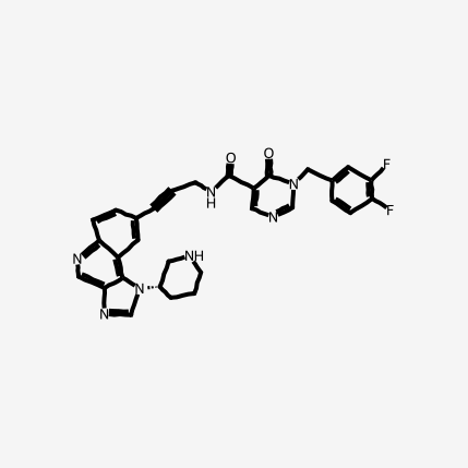 O=C(NCC#Cc1ccc2ncc3ncn([C@H]4CCCNC4)c3c2c1)c1cncn(Cc2ccc(F)c(F)c2)c1=O